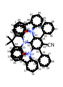 CC1(C)c2ccccc2N(c2c(-n3c4ccccc4c4ccccc43)c(-c3ccccc3)c(C#N)c(-c3ccccc3)c2-n2c3ccccc3c3ccccc32)c2ccccc21